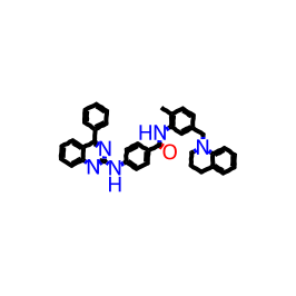 Cc1ccc(CN2CCCc3ccccc32)cc1NC(=O)c1ccc(Nc2nc(-c3ccccc3)c3ccccc3n2)cc1